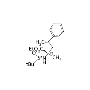 C=C(C[C@](C)(N[S+]([O-])C(C)(C)C)C(=O)OCC)c1ccccc1